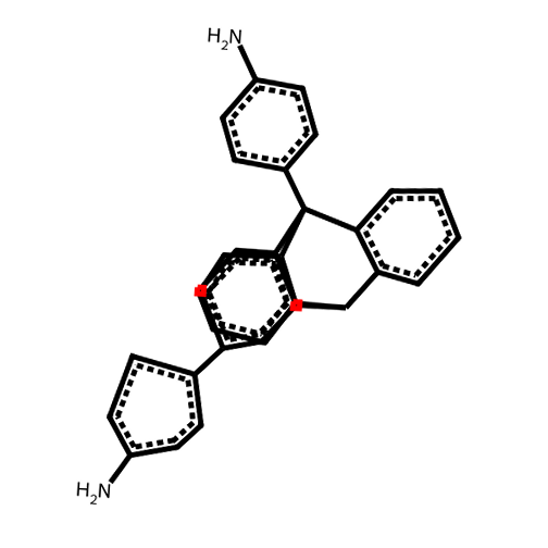 Nc1ccc(-c2ccc3c(c2)C2c4ccccc4C3(c3ccc(N)cc3)c3ccccc32)cc1